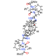 COC(=O)N[C@H](C(=O)N1C(c2nc3cc(C4C[C@H]5CC[C@@H]4CC[C@@H]4CC[C@H](CC5)C(c5ccc6[nH]c([C@@H]7C[C@@H]8CCCC[C@@H]8N7C(=O)[C@@H](NC(=O)OC)C(C)C)nc6c5)C4)ccc3[nH]2)C[C@@H]2CCCC[C@@H]21)C(C)C